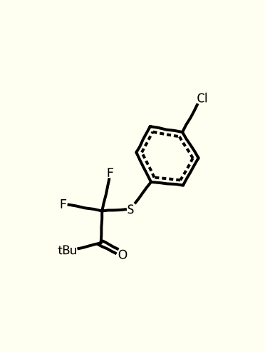 CC(C)(C)C(=O)C(F)(F)Sc1ccc(Cl)cc1